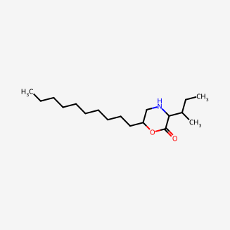 CCCCCCCCCCC1CNC(C(C)CC)C(=O)O1